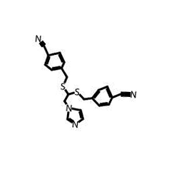 N#Cc1ccc(CSC(Cn2ccnc2)SCc2ccc(C#N)cc2)cc1